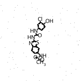 CS(=O)(=O)Nc1ccc2nc(NC(=O)Nc3ccc(O)c(Cl)c3)sc2c1